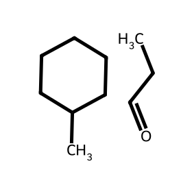 CC1CCCCC1.CCC=O